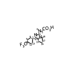 CN(CC(=O)O)c1nc(-c2ccc(C(F)(F)F)cc2)c2ccccn12